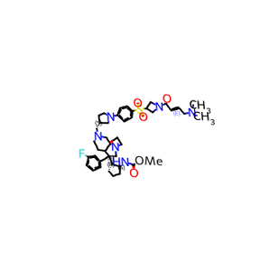 COC(=O)N[C@H]1CCC[C@@H]1[C@](CN1CCC1)(c1cccc(F)c1)C1CCN(C[C@@H]2CCN(c3ccc(S(=O)(=O)C4CN(C(=O)/C=C/CN(C)C)C4)cc3)C2)CC1